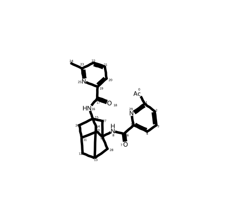 CC(=O)c1cccc(C(=O)NC23CC4CC(CC(NC(=O)c5cccc(C)n5)(C4)C2)C3)n1